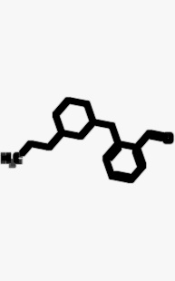 CCCC1CCCC(Cc2ccccc2C=O)C1